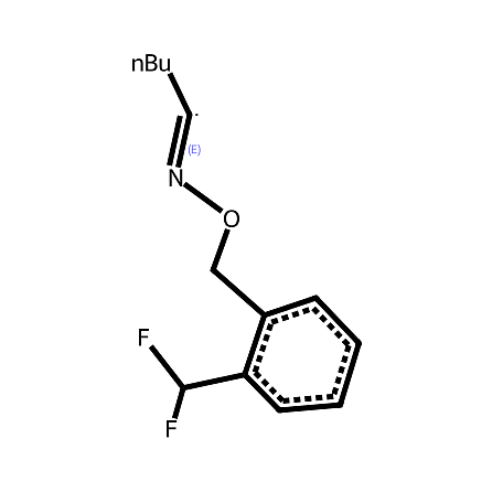 CCCC/[C]=N/OCc1ccccc1C(F)F